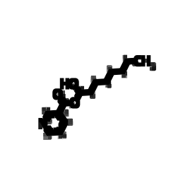 CCCCCCCC(O)OC(=O)c1cccnc1